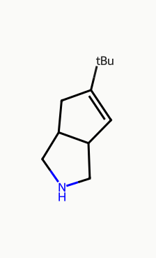 CC(C)(C)C1=CC2CNCC2C1